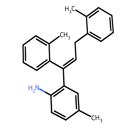 Cc1ccc(N)c(C(=CCc2ccccc2C)c2ccccc2C)c1